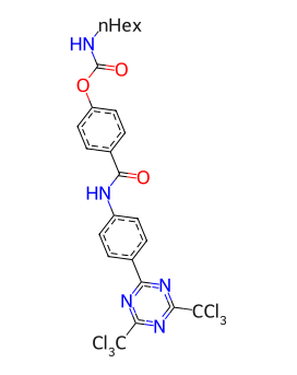 CCCCCCNC(=O)Oc1ccc(C(=O)Nc2ccc(-c3nc(C(Cl)(Cl)Cl)nc(C(Cl)(Cl)Cl)n3)cc2)cc1